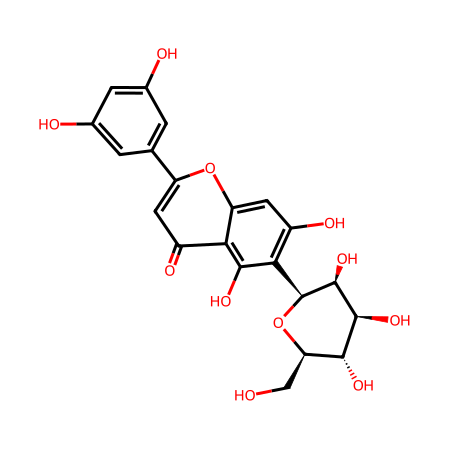 O=c1cc(-c2cc(O)cc(O)c2)oc2cc(O)c([C@@H]3O[C@H](CO)[C@@H](O)[C@H](O)[C@@H]3O)c(O)c12